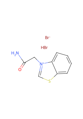 Br.NC(=O)C[n+]1csc2ccccc21.[Br-]